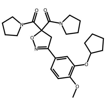 COc1ccc(C2=NOC(C(=O)N3CCCC3)(C(=O)N3CCCC3)C2)cc1OC1CCCC1